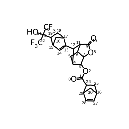 O=C(OC1C2CC3C1OC(=O)C3C2C1=CC2CC1CC2C(O)(C(F)(F)F)C(F)(F)F)C1CC2C=CC1C2